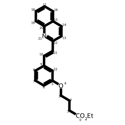 CCOC(=O)CCCOc1cccc(C=Cc2ccc3ccccc3n2)c1